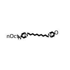 CCCCCCCCN=c1ccn(CCCCCCCCCCn2ccc(=O)cc2)cc1